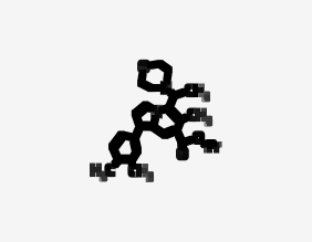 Cc1ccc(-c2ccn3c(C(C)N4CCOCC4)c(C)c(C(=O)OC(C)C)cc23)cc1C